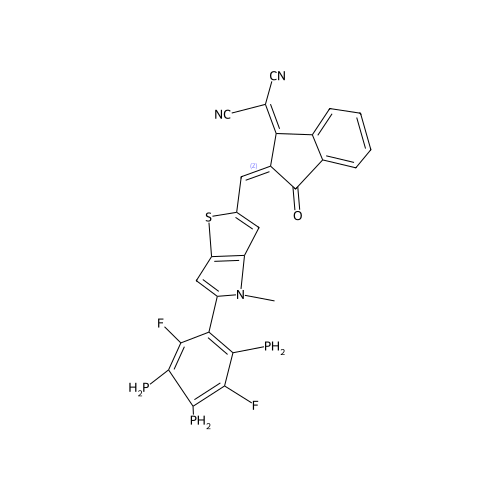 Cn1c(-c2c(F)c(P)c(P)c(F)c2P)cc2sc(/C=C3\C(=O)c4ccccc4C3=C(C#N)C#N)cc21